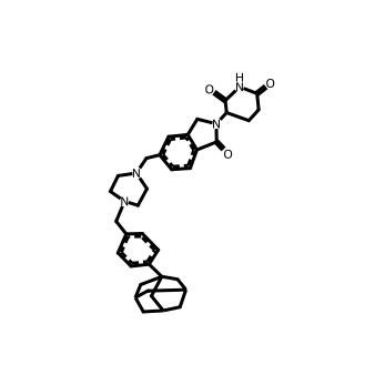 O=C1CCC(N2Cc3cc(CN4CCN(Cc5ccc(C67CC8CC(CC(C8)C6)C7)cc5)CC4)ccc3C2=O)C(=O)N1